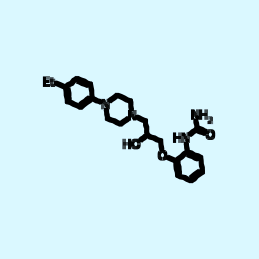 CCc1ccc(N2CCN(CC(O)COc3ccccc3NC(N)=O)CC2)cc1